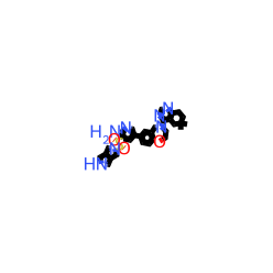 CC1(C)CCc2ncnc(N3CCOc4ccc(-c5cnc(N)c(S(=O)(=O)N6CC7CNCC7C6)c5)cc4C3)c2C1